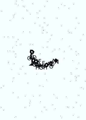 O=C(OCc1ccccc1)c1cn(C2CC2)c2c3c(c(F)cc2c1=O)N1C[C@](O)(COc2ccc(N4C[C@H](Cn5ccnc5)OC4=O)cc2F)C[C@H]1CO3